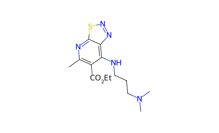 CCOC(=O)c1c(C)nc2snnc2c1NCCCN(C)C